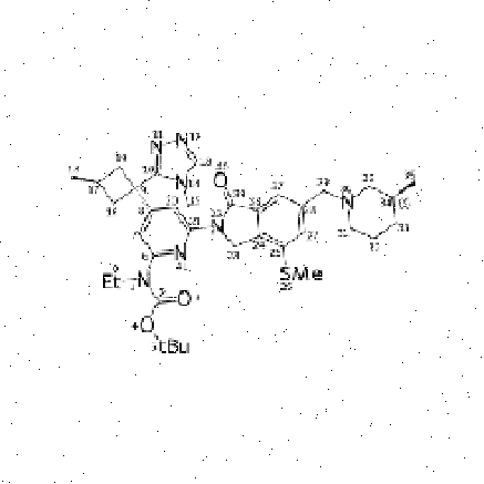 CCN(C(=O)OC(C)(C)C)c1cc([C@]2(c3nncn3C)C[C@@H](C)C2)cc(N2Cc3c(SC)cc(CN4CCC[C@H](C)C4)cc3C2=O)n1